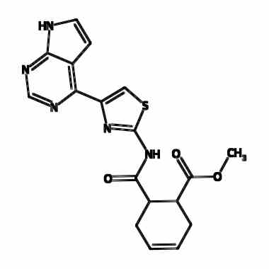 COC(=O)C1CC=CCC1C(=O)Nc1nc(-c2ncnc3[nH]ccc23)cs1